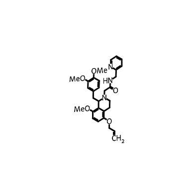 C=CCOc1ccc(OC)c2c1CCN(CC(=O)NCc1ccccn1)C2Cc1ccc(OC)c(OC)c1